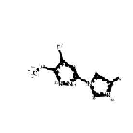 Cc1cn(-c2cc(F)c(OC(F)(F)F)nn2)cn1